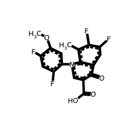 COc1cc(-n2cc(C(=O)O)c(=O)c3cc(F)c(F)c(C)c32)c(F)cc1F